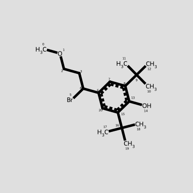 COCCC(Br)c1cc(C(C)(C)C)c(O)c(C(C)(C)C)c1